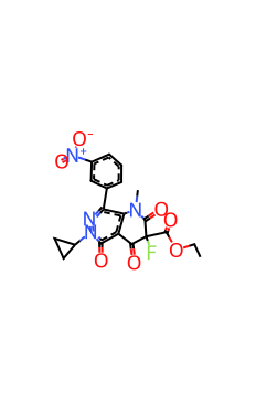 CCOC(=O)C1(F)C(=O)c2c(c(-c3cccc([N+](=O)[O-])c3)nn(C3CC3)c2=O)N(C)C1=O